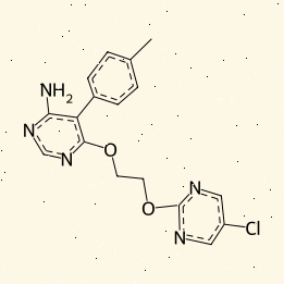 Cc1ccc(-c2c(N)ncnc2OCCOc2ncc(Cl)cn2)cc1